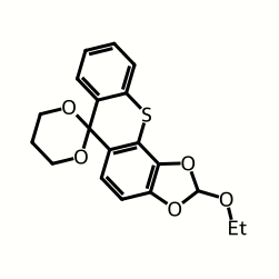 CCOC1Oc2ccc3c(c2O1)Sc1ccccc1C31OCCCO1